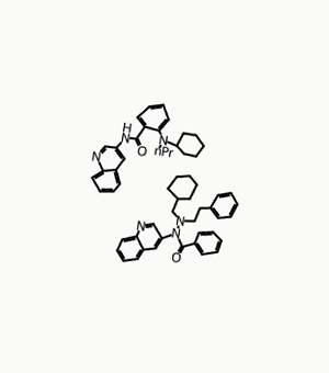 CCCN(c1ccccc1C(=O)Nc1cnc2ccccc2c1)C1CCCCC1.O=C(c1ccccc1)N(c1cnc2ccccc2c1)N(CCc1ccccc1)CC1CCCCC1